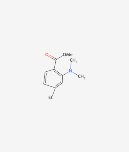 CCc1ccc(C(=O)OC)c(N(C)C)c1